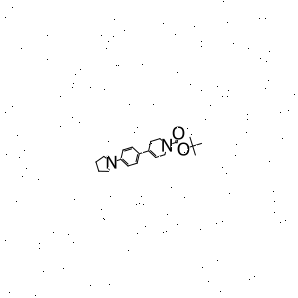 CC(C)(C)OC(=O)N1CC=C(c2ccc(N3CCCC3)cc2)CC1